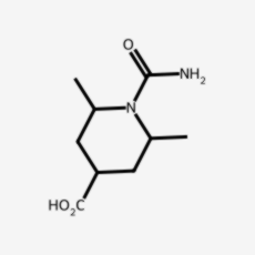 CC1CC(C(=O)O)CC(C)N1C(N)=O